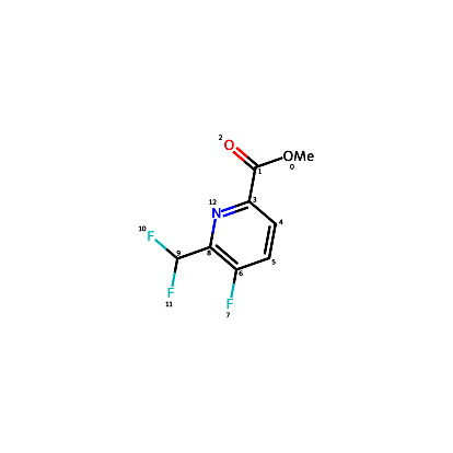 COC(=O)c1ccc(F)c(C(F)F)n1